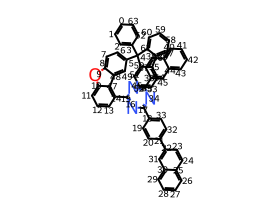 c1ccc(C2(c3ccc4oc5cccc(-c6nc(-c7ccc(-c8ccc9ccccc9c8)cc7)nc(-c7ccc8ccccc8c7)n6)c5c4c3)c3ccccc3-c3ccccc32)cc1